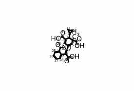 CC1(C(=O)O)C=CC=C(C(=O)O)C1C1CC1.O=C(O)c1c[nH]c(=O)c2ccccc12